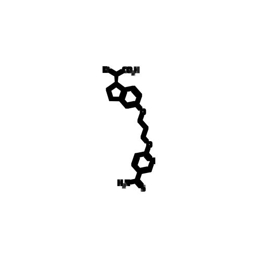 CCC(C(=O)O)[C@@H]1CCc2cc(OCCCOc3ccc(C(N)=S)cn3)ccc21